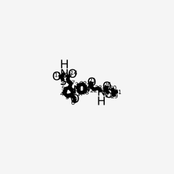 COc1cccc(/C=C2\SC(=O)NC2=O)c1N1CCN(C(=O)CCNC(=O)OC(C)(C)C)CC1